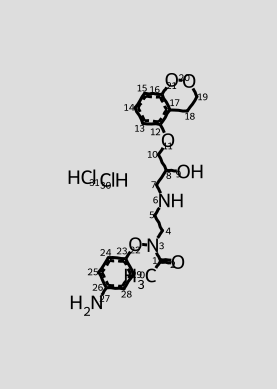 CC(=O)N(CCNCC(O)COc1cccc2c1CCOO2)Oc1ccc(N)cc1.Cl.Cl